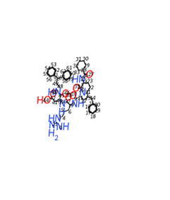 N=C(N)NCCCC(NC(=O)[C@@H]1CC(Cc2ccccc2)C2CCC(NC(=O)C3CCCCC3)C(=O)N21)C(=O)N[C@@H](CC(=O)O)C(=O)NCCC(c1ccccc1)c1ccccc1